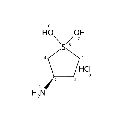 Cl.N[C@@H]1CCS(O)(O)C1